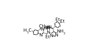 C=C1c2cc(C)ccc2N=C(C(CC)Nc2ncnc(N)c2C(=N)c2ccc(CC)c(CC)c2)N1CCC